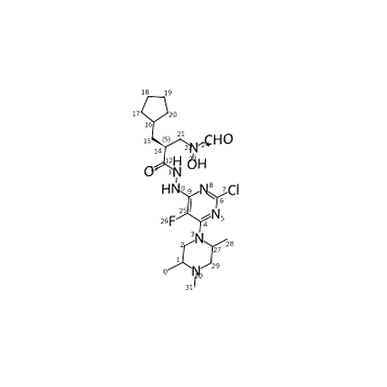 CC1CN(c2nc(Cl)nc(NNC(=O)[C@@H](CC3CCCC3)CN(O)C=O)c2F)C(C)CN1C